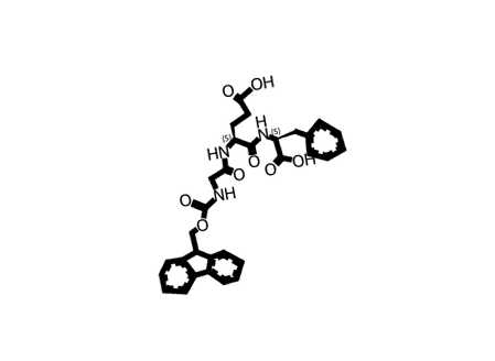 O=C(O)CC[C@H](NC(=O)CNC(=O)OCC1c2ccccc2-c2ccccc21)C(=O)N[C@@H](Cc1ccccc1)C(=O)O